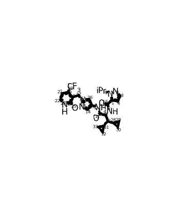 CC(C)n1nccc1C(=O)N[C@H](C(=O)Nc1cnn(Cc2c(C(F)(F)F)cc[nH]c2=O)c1)C(C1CC1)C1CC1